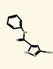 CNc1cc(C(=O)Nc2ccccc2)[nH]n1